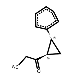 N#CCC(=O)[C@@H]1C[C@H]1c1ccccc1